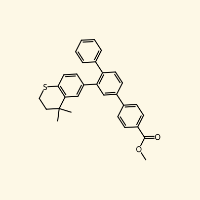 COC(=O)c1ccc(-c2ccc(-c3ccccc3)c(-c3ccc4c(c3)C(C)(C)CCS4)c2)cc1